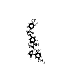 CCCc1ccc(C)cc1N1C(=O)CSC1=NC(=O)Nc1ccc(-c2ncn(-c3ccc(C(F)(F)F)cc3)n2)cc1F